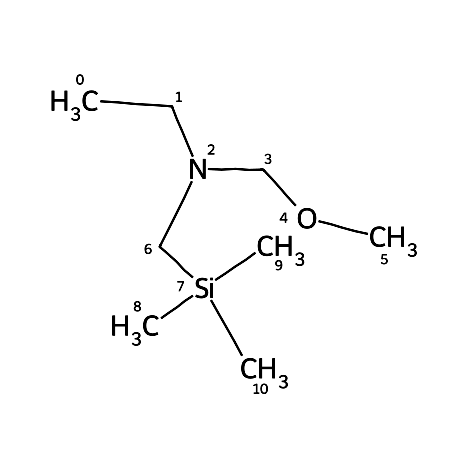 CCN(COC)C[Si](C)(C)C